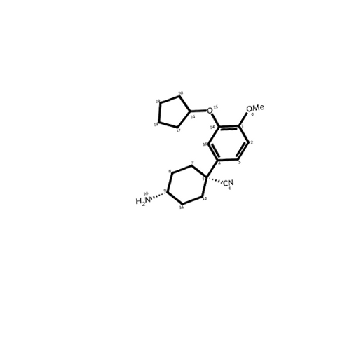 COc1ccc([C@]2(C#N)CC[C@@H](N)CC2)cc1OC1CCCC1